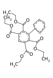 CCOC(=O)c1cc(C(=O)OCC)c(C(=O)OCC)c(-c2ccccc2)c1C(=O)OCC